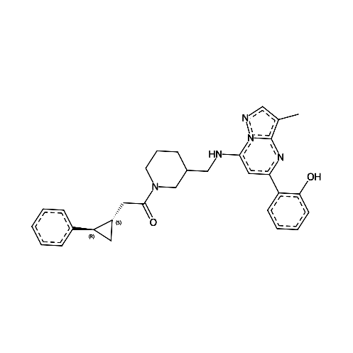 Cc1cnn2c(NCC3CCCN(C(=O)C[C@@H]4C[C@H]4c4ccccc4)C3)cc(-c3ccccc3O)nc12